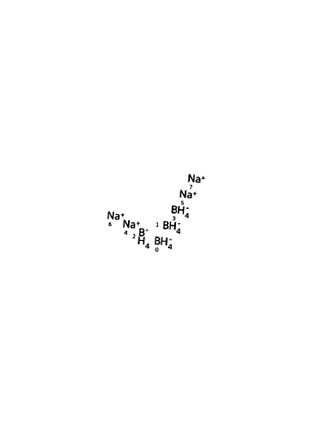 [BH4-].[BH4-].[BH4-].[BH4-].[Na+].[Na+].[Na+].[Na+]